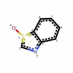 [O-][s+]1cnc2ccccc21